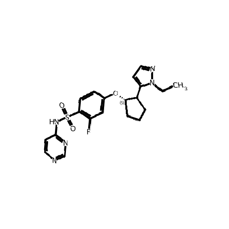 CCn1nccc1C1CCC[C@@H]1Oc1ccc(S(=O)(=O)Nc2ccncn2)c(F)c1